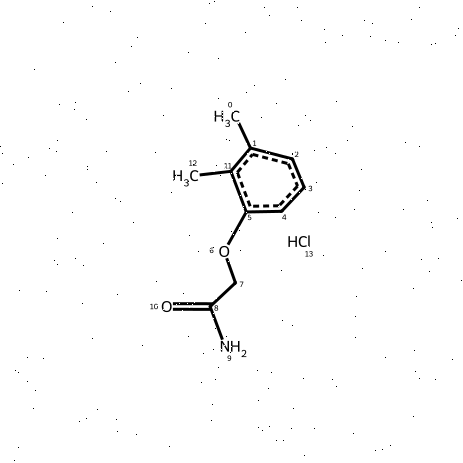 Cc1cccc(OCC(N)=O)c1C.Cl